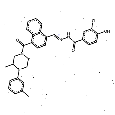 Cc1cccc(N2CCN(C(=O)c3ccc(/C=N/NC(=O)c4ccc(O)c(Cl)c4)c4ccccc34)CC2C)c1